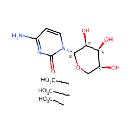 CC(=O)O.CC(=O)O.CC(=O)O.Nc1ccn([C@H]2OC[C@H](O)[C@H](O)[C@@H]2O)c(=O)n1